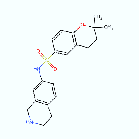 CC1(C)CCc2cc(S(=O)(=O)Nc3ccc4c(c3)CNCC4)ccc2O1